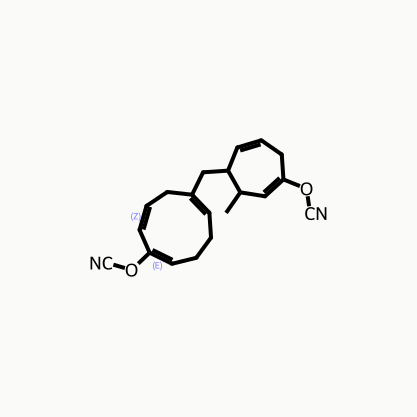 CC1C=C(OC#N)CC=CC1CC1=CCC/C=C(OC#N)\C=C/C1